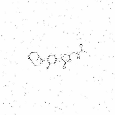 CC(=O)NC[C@H]1CN(c2ccc(N3CCC4CC3CCS4)c(F)c2)C(=O)O1